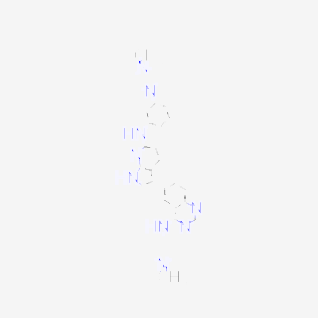 CN1CCC(Nc2ncnc3ccc(-c4c[nH]c5nc(Nc6cccc(N7CCN(C)CC7)c6)ccc45)cc23)CC1